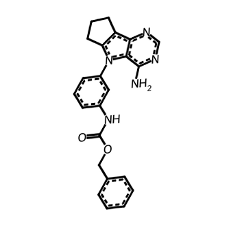 Nc1ncnc2c3c(n(-c4cccc(NC(=O)OCc5ccccc5)c4)c12)CCC3